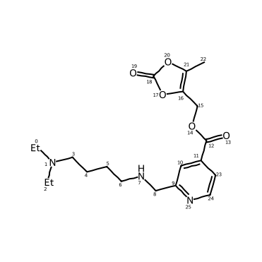 CCN(CC)CCCCNCc1cc(C(=O)OCc2oc(=O)oc2C)ccn1